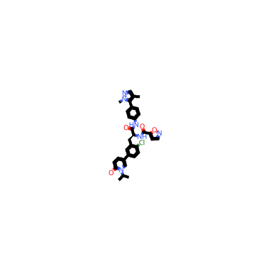 Cc1cnn(C)c1-c1ccc(NC(=O)[C@H](Cc2cc(-c3ccc(=O)n(C(C)C)c3)ccc2Cl)NC(=O)c2ccno2)cc1